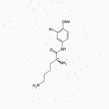 COc1ccc(NC(=O)[C@@H](N)CCCCN)cc1C(C)=O